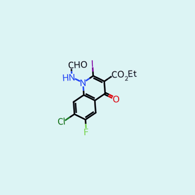 CCOC(=O)c1c(I)n(NC=O)c2cc(Cl)c(F)cc2c1=O